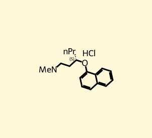 CCC[C@@H](CCNC)Oc1cccc2ccccc12.Cl